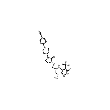 COCC(CO[C@@H]1CCN(C2CCN(c3ccc(C#N)cn3)CC2)C1=O)Nc1cn[nH]c(=O)c1C(F)(F)F